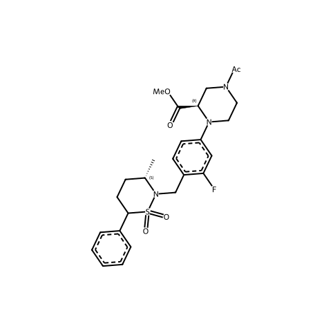 COC(=O)[C@H]1CN(C(C)=O)CCN1c1ccc(CN2[C@@H](C)CCC(c3ccccc3)S2(=O)=O)c(F)c1